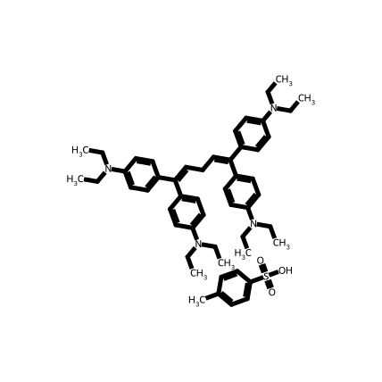 CCN(CC)c1ccc(C(=CCC=C(c2ccc(N(CC)CC)cc2)c2ccc(N(CC)CC)cc2)c2ccc(N(CC)CC)cc2)cc1.Cc1ccc(S(=O)(=O)O)cc1